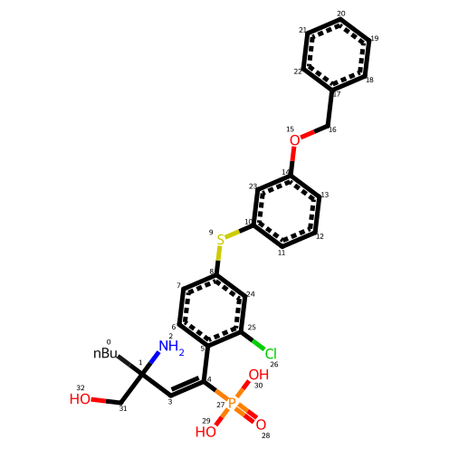 CCCCC(N)(C=C(c1ccc(Sc2cccc(OCc3ccccc3)c2)cc1Cl)P(=O)(O)O)CO